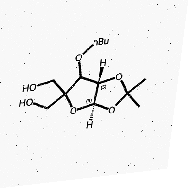 CCCCOC1[C@@H]2OC(C)(C)O[C@H]2OC1(CO)CO